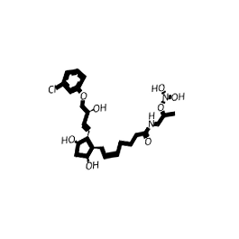 CC(CNC(=O)CCC/C=C\C[C@@H]1[C@@H](/C=C/[C@@H](O)COc2cccc(Cl)c2)[C@H](O)C[C@@H]1O)ON(O)O